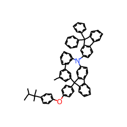 Cc1cc(C)cc(C2(c3ccc(Oc4ccc(C(C)(C)C(C)C)cc4)cc3)c3ccccc3-c3ccc(N(c4ccccc4)c4ccc5c(c4)C(c4ccccc4)(c4ccccc4)c4ccccc4-5)cc32)c1